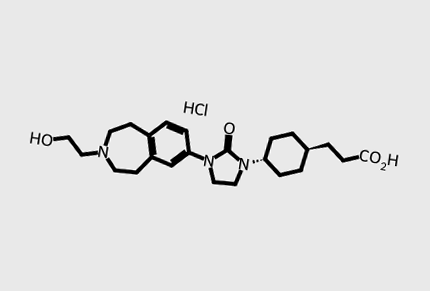 Cl.O=C(O)CC[C@H]1CC[C@H](N2CCN(c3ccc4c(c3)CCN(CCO)CC4)C2=O)CC1